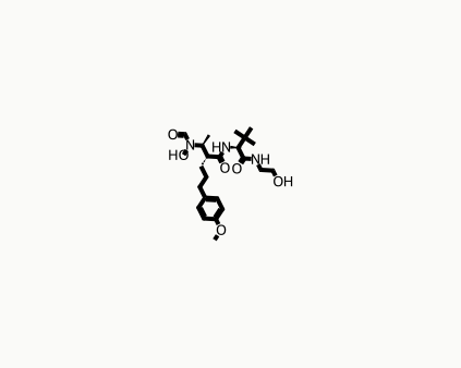 COc1ccc(CCC[C@@H](C(=O)N[C@H](C(=O)NCCO)C(C)(C)C)[C@H](C)N(O)C=O)cc1